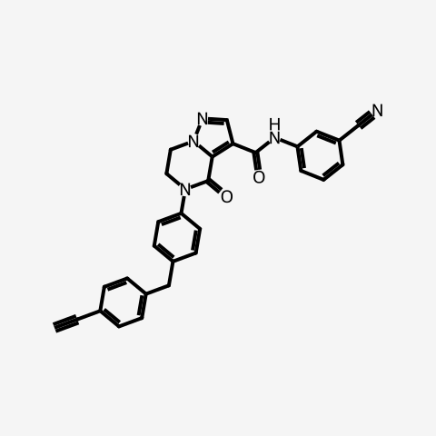 C#Cc1ccc(Cc2ccc(N3CCn4ncc(C(=O)Nc5cccc(C#N)c5)c4C3=O)cc2)cc1